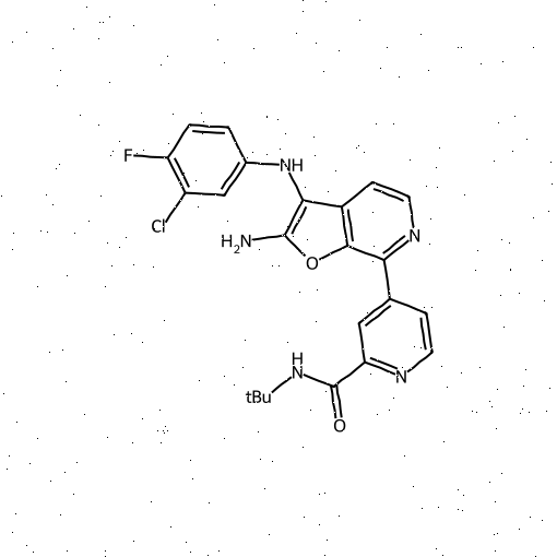 CC(C)(C)NC(=O)c1cc(-c2nccc3c(Nc4ccc(F)c(Cl)c4)c(N)oc23)ccn1